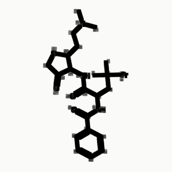 CC(C)C(C)(C)CC(NC(=O)c1ccccc1)C(=O)NC1C(=O)COC1CCN(C)C